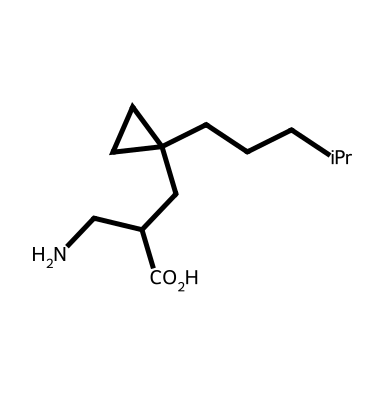 CC(C)CCCC1(CC(CN)C(=O)O)CC1